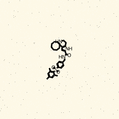 Cc1cc(C)c(S(=O)(=O)c2ccc(CNC(=O)c3cc4c([nH]3)CCNC43CCCCCCC3)cc2)c(C)c1